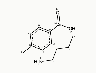 CCCCN.Cc1ccc(S(=O)O)cc1